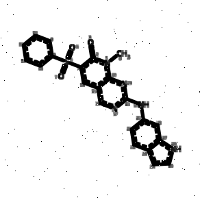 Cn1c(=O)c(S(=O)(=O)c2ccccc2)cc2cnc(Nc3ccc4cc[nH]c4c3)nc21